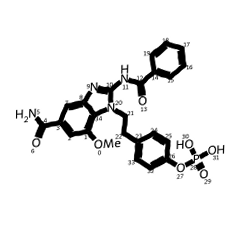 COc1cc(C(N)=O)cc2nc(NC(=O)c3ccccc3)n(CCc3ccc(OP(=O)(O)O)cc3)c12